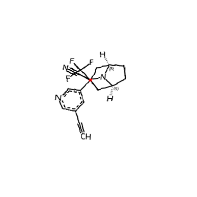 C#Cc1cncc(C2(C#N)C[C@H]3CC[C@@H](C2)N3CC(F)(F)F)c1